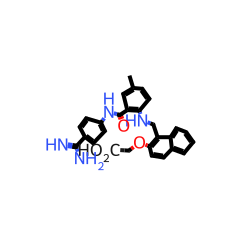 Cc1ccc(NCc2c(OCC(=O)O)ccc3ccccc23)c(C(=O)Nc2ccc(C(=N)N)cc2)c1